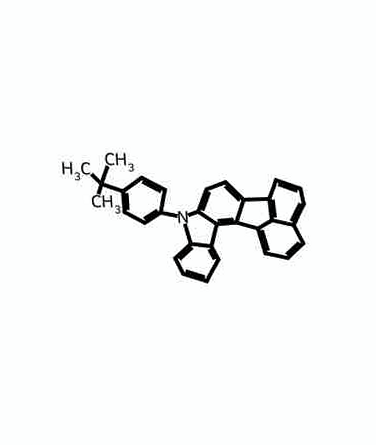 CC(C)(C)c1ccc(-n2c3ccccc3c3c4c(ccc32)-c2cccc3cccc-4c23)cc1